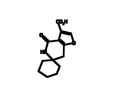 O=C(O)c1coc2c1C(=O)NC1(CCCCC1)C2